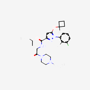 CCOC(=O)N1CCN(C(=O)[C@H](CCC(=O)O)NC(=O)c2cc(OC3(C(=O)OCC)CCC3)n(-c3cccc(Cl)c3C)n2)CC1